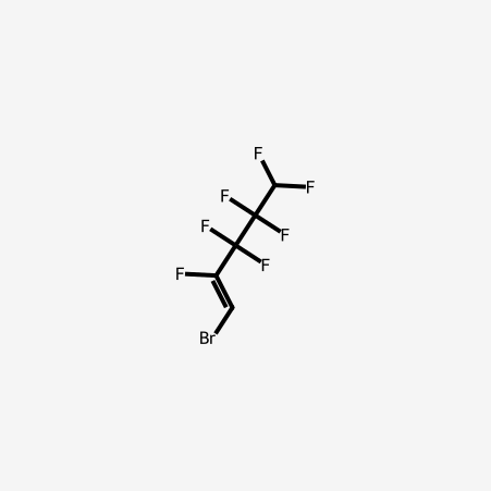 FC(=CBr)C(F)(F)C(F)(F)C(F)F